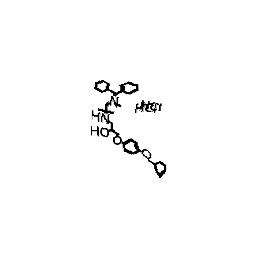 CN(CC(C)(C)NCC(O)COc1ccc(OCc2ccccc2)cc1)C(c1ccccc1)c1ccccc1.Cl.Cl